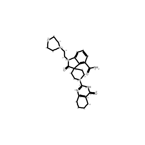 NC(=O)c1cccc2c1C1(CCN(c3nc4c(c(=O)[nH]3)CCCC4)CC1)C(=O)N2CCN1CCOCC1